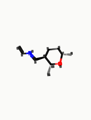 C=C/N=C/[C@H]1CC[C@H](C)O[C@@H]1C